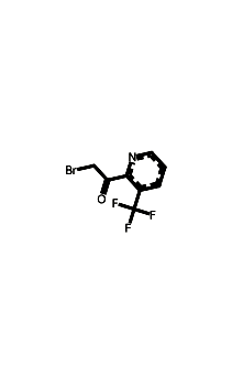 O=C(CBr)c1ncccc1C(F)(F)F